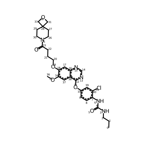 CCCNC(=O)Nc1ccc(Oc2ncnc3cc(OCCCC(=O)N4CCC5(CC4)COC5)c(OC)cc23)cc1Cl